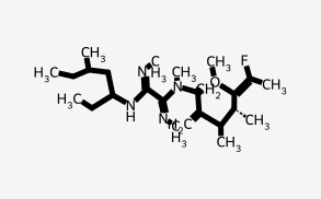 C=C(C(=C)N(C)C(=N\C)/C(=N\C)NC(CC)CC(C)CC)C(C)[C@@H](C)/C(OC)=C(\C)F